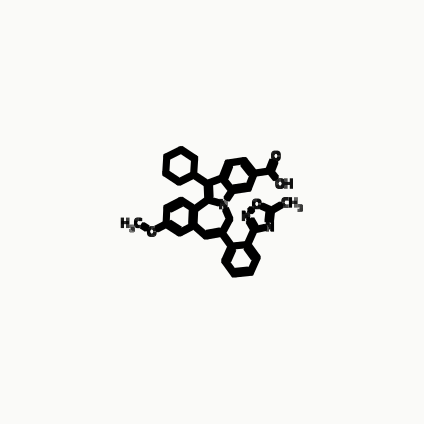 COc1ccc2c(c1)C=C(c1ccccc1-c1noc(C)n1)Cn1c-2c(C2CCCCC2)c2ccc(C(=O)O)cc21